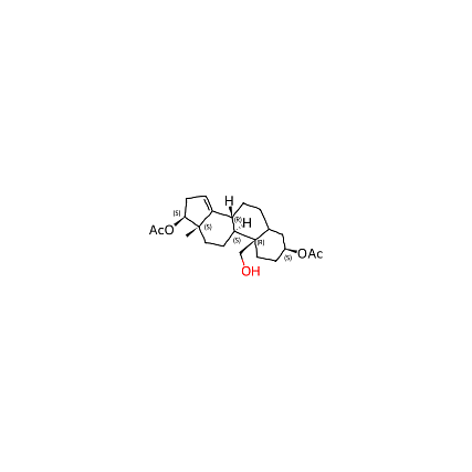 CC(=O)O[C@H]1CC[C@@]2(CO)C(CC[C@H]3C4=CC[C@H](OC(C)=O)[C@@]4(C)CC[C@@H]32)C1